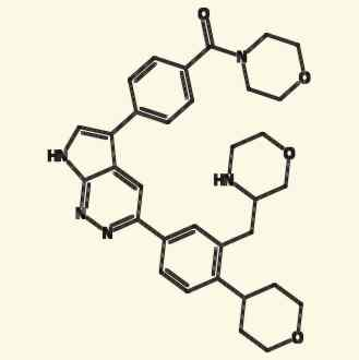 O=C(c1ccc(-c2c[nH]c3nnc(-c4ccc(C5CCOCC5)c(CC5COCCN5)c4)cc23)cc1)N1CCOCC1